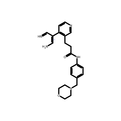 N=C/C(=C\N)c1ccncc1CCC(=O)Nc1ccc(CN2CCOCC2)cc1